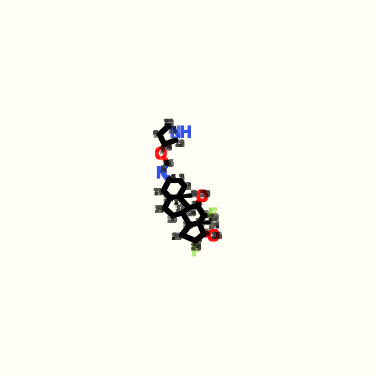 C[C@]12CC/C(=N\COC3CCNC3)CC1CCC1C2C(=O)C(F)[C@]2(C)C(=O)C(F)CC12